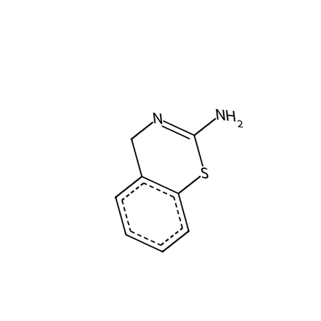 NC1=NCc2ccccc2S1